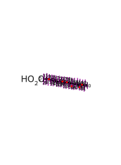 O=C(O)C(I)(I)C(I)(I)C(I)(I)C(I)(I)C(I)(I)C(I)(I)C(I)(I)C(I)(I)C(I)(I)C(I)(I)C(I)(I)C(I)(I)C(I)(I)C(I)(I)C(I)(I)C(I)(I)C(I)(I)I